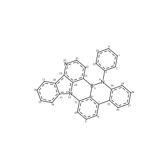 c1ccc(N2B3c4c(cccc4-n4c5ccccc5c5nccc3c54)-c3ccccc32)cc1